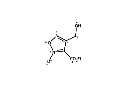 CCOC(=O)c1c(CO)no[n+]1[O-]